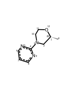 C[C@@H]1CN(c2ncccn2)CCO1